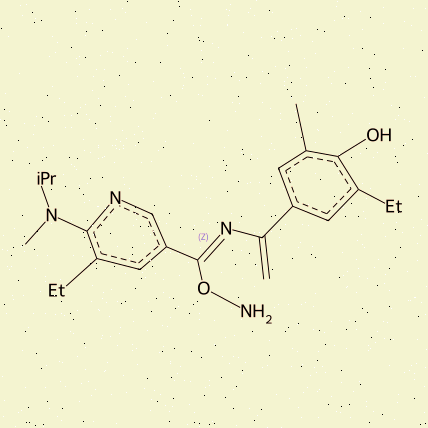 C=C(/N=C(\ON)c1cnc(N(C)C(C)C)c(CC)c1)c1cc(C)c(O)c(CC)c1